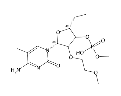 CC[C@H]1O[C@@H](n2cc(C)c(N)nc2=O)C(OCCOC)C1OP(=O)(O)OC